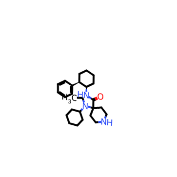 CCN(C1CCCCC1)C1(C(=O)N[C@@H]2CCCC[C@@H]2c2ccccc2)CCNCC1